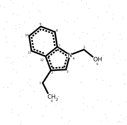 [CH2]Cc1cn(CO)c2ccccc12